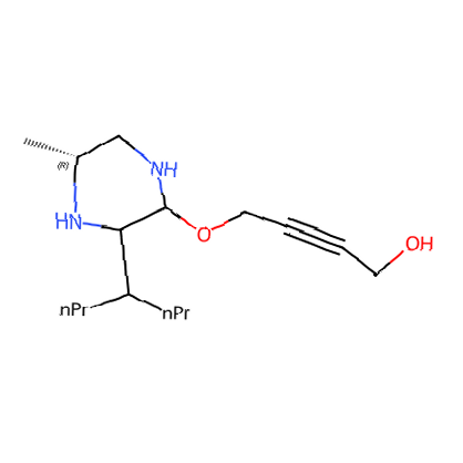 CCCC(CCC)C1N[C@H](C)CNC1OCC#CCO